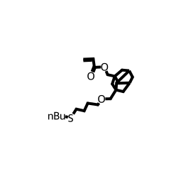 C=CC(=O)OCC12CC3CC(CC(COCCCCSCCCC)(C3)C1)C2